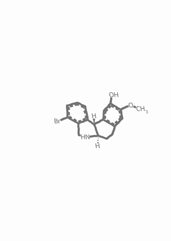 COc1cc2c(cc1O)[C@H]1c3cccc(Br)c3CN[C@@H]1CC2